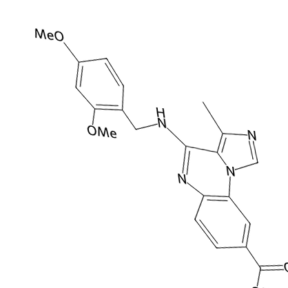 COC(=O)c1ccc2nc(NCc3ccc(OC)cc3OC)c3c(C)ncn3c2c1